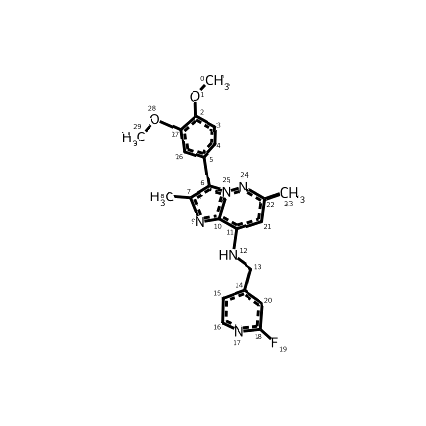 COc1ccc(-c2c(C)nc3c(NCc4ccnc(F)c4)cc(C)nn23)cc1OC